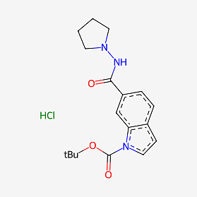 CC(C)(C)OC(=O)n1ccc2ccc(C(=O)NN3CCCC3)cc21.Cl